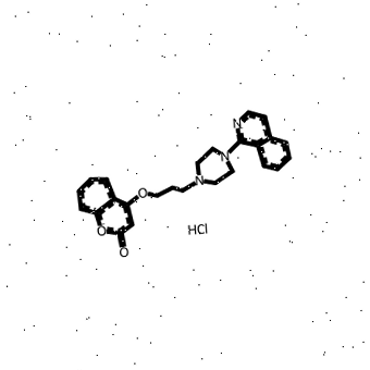 Cl.O=c1cc(OCCCN2CCN(c3nccc4ccccc34)CC2)c2ccccc2o1